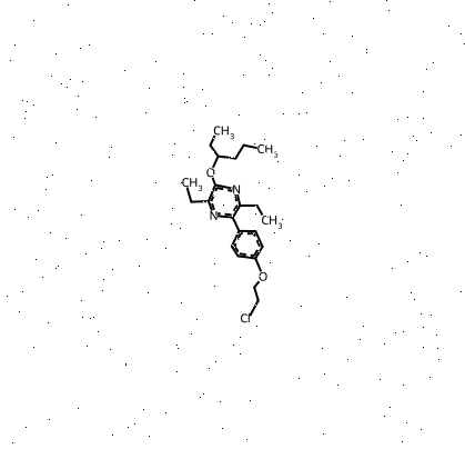 CCCC(CC)Oc1nc(CC)c(-c2ccc(OCCCl)cc2)nc1CC